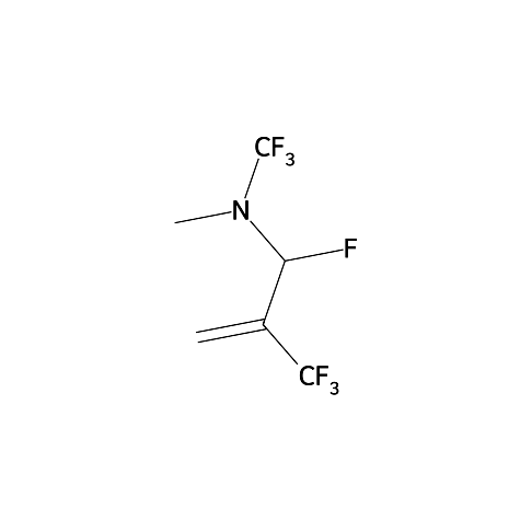 C=C(C(F)N(C)C(F)(F)F)C(F)(F)F